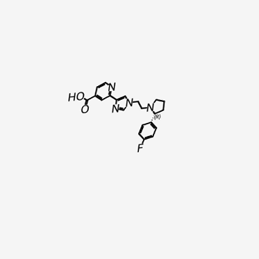 O=C(O)c1ccnc(-c2cn(CCN3CCC[C@@H]3c3ccc(F)cc3)cn2)c1